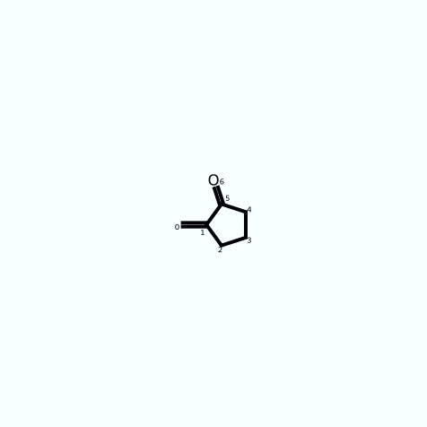 C=C1CCCC1=O